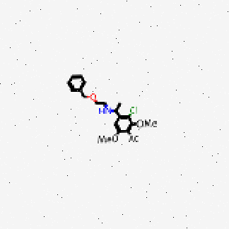 COc1cc(C(C)NCCOCc2ccccc2)c(Cl)c(OC)c1C(C)=O